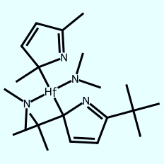 CC1=N[C](C)([Hf]([N](C)C)([N](C)C)[C]2(C(C)(C)C)C=CC(C(C)(C)C)=N2)C=C1